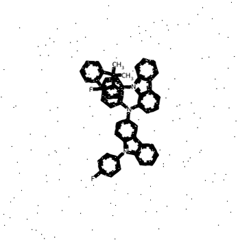 CC1(C)c2ccccc2-c2ccc(N(c3ccc4c(c3)c3ccccc3n4-c3ccc(F)cc3)c3cccc4c5ccccc5n(-c5ccc(F)cc5)c34)cc21